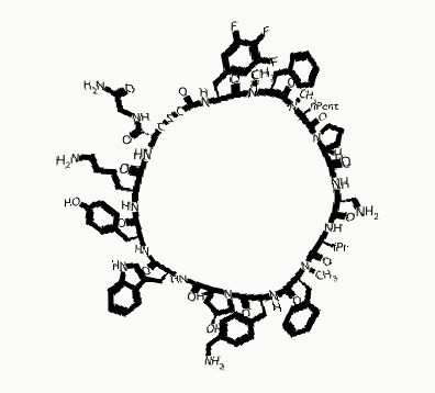 CCCCC[C@H]1C(=O)N2CCC[C@@H]2C(=O)N[C@@H](CN)C(=O)N[C@@H](C(C)C)C(=O)N(C)[C@@H](Cc2ccccc2)C(=O)N[C@@H](Cc2ccc(CN)cc2)C(=O)N2C[C@@H](O)C[C@@H]2C(=O)N[C@@H](Cc2c[nH]c3ccccc23)C(=O)N[C@@H](Cc2ccc(O)cc2)C(=O)N[C@@H](CCCCN)C(=O)N[C@H](C(=O)NCC(N)=O)CSCC(=O)N[C@@H](Cc2cc(F)c(F)c(F)c2)C(=O)N(C)[C@@H](Cc2ccccc2)C(=O)N1C